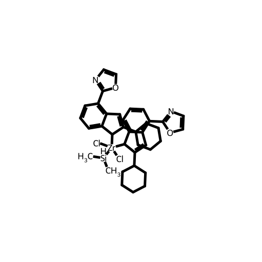 C[SiH](C)[Zr]([Cl])([Cl])([CH]1C(C2CCCCC2)=Cc2c(-c3ncco3)cccc21)[CH]1C(C2CCCCC2)=Cc2c(-c3ncco3)cccc21